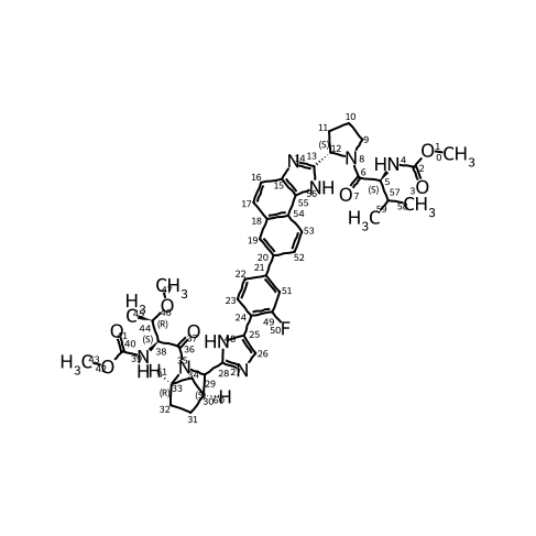 COC(=O)N[C@H](C(=O)N1CCC[C@H]1c1nc2ccc3cc(-c4ccc(-c5cnc(C6[C@H]7CC[C@H](C7)N6C(=O)[C@@H](NC(=O)OC)[C@@H](C)OC)[nH]5)c(F)c4)ccc3c2[nH]1)C(C)C